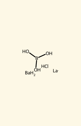 Cl.OB(O)O.[BaH2].[La]